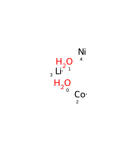 O.O.[Co].[Li].[Ni]